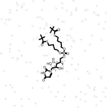 CC(C)(C)C(=O)SCCCCOP(=O)(OCCCCSC(=O)C(C)(C)C)OC[C@H](F)[C@@H](O)[C@@](C)(O)[C@@H](O)n1ccc(=O)[nH]c1=O